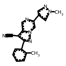 Cc1ccccc1-c1nn2cc(-c3cnn(C)c3)ncc2c1C#N